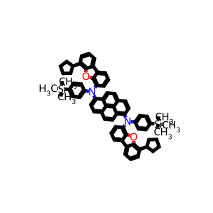 C[Si](C)(C)c1ccc(N(c2ccc3ccc4c(N(c5ccc([Si](C)(C)C)cc5)c5cccc6c5oc5c(C7CCCC7)cccc56)ccc5ccc2c3c54)c2cccc3c2oc2c(C4CCCC4)cccc23)cc1